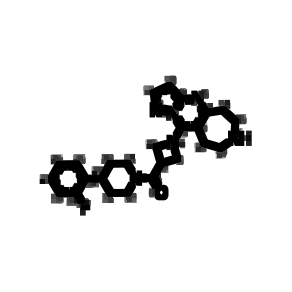 O=C(C1CN(c2c3c(nc4ccnn24)CCNCC3)C1)N1CCC(c2ccccc2F)CC1